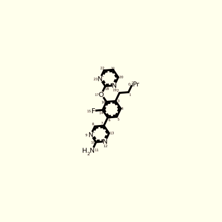 CC(C)CCc1ccc(-c2cnc(N)nc2)c(F)c1Oc1ncccn1